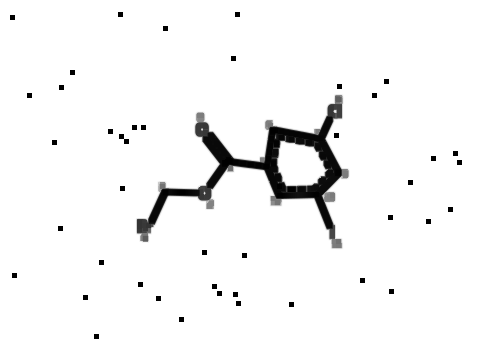 O=C(OCBr)c1cc(Cl)cc(I)c1